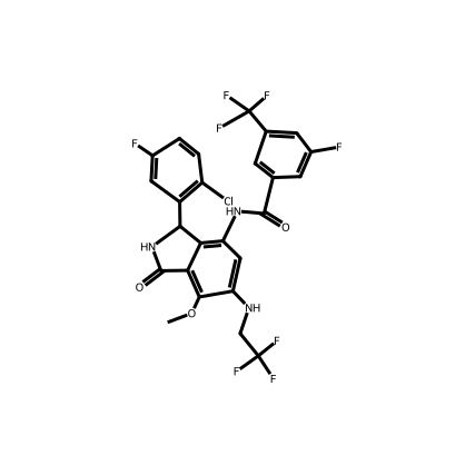 COc1c(NCC(F)(F)F)cc(NC(=O)c2cc(F)cc(C(F)(F)F)c2)c2c1C(=O)NC2c1cc(F)ccc1Cl